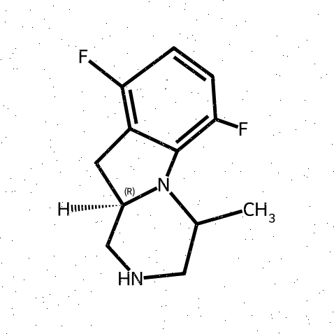 CC1CNC[C@H]2Cc3c(F)ccc(F)c3N12